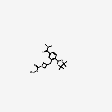 CN(C)C(=O)c1ccc(B2OC(C)(C)C(C)(C)O2)c(CC2CN(C(=O)OC(C)(C)C)C2)c1